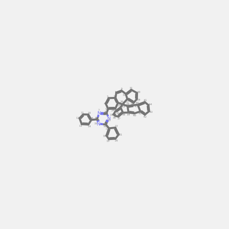 C1=Cc2ccc(-c3nc(-c4ccccc4)nc(-c4ccccc4)n3)cc2C2(c3ccccc31)c1ccccc1-c1cc3ccccc3cc12